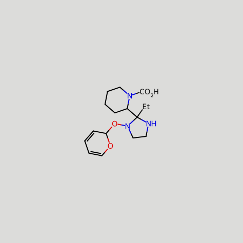 CCC1(C2CCCCN2C(=O)O)NCCN1OC1C=CC=CO1